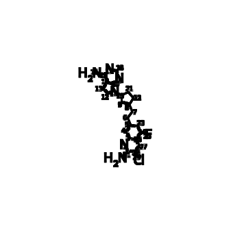 Nc1nc2cc(CCC3=CC(n4ccc5c(N)ncnc54)CC3)cc(F)c2cc1Cl